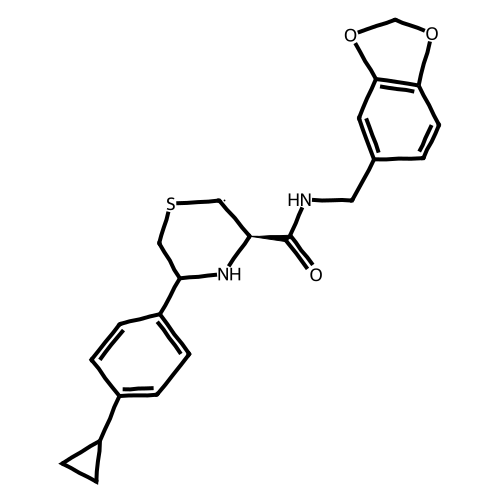 O=C(NCc1ccc2c(c1)OCO2)[C@@H]1[CH]SCC(c2ccc(C3CC3)cc2)N1